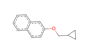 [c]1cccc2cc(OCC3CC3)ccc12